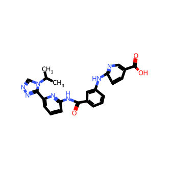 CC(C)n1cnnc1-c1cccc(NC(=O)c2cccc(Nc3ccc(C(=O)O)cn3)c2)n1